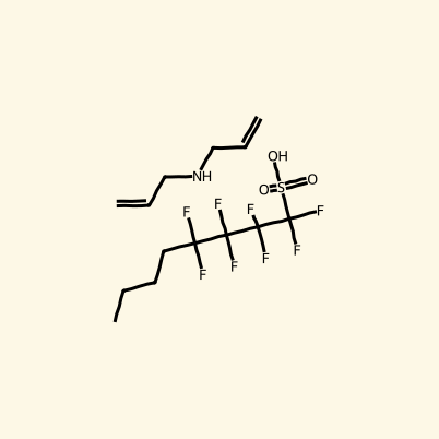 C=CCNCC=C.CCCCC(F)(F)C(F)(F)C(F)(F)C(F)(F)S(=O)(=O)O